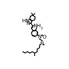 CCCCCC(C)CCCCN(C)CCN(C=O)C1=CC(C)=C(/C=C(\N)c2n[nH]c3c2CCC(C)(C)C3)CC=C1